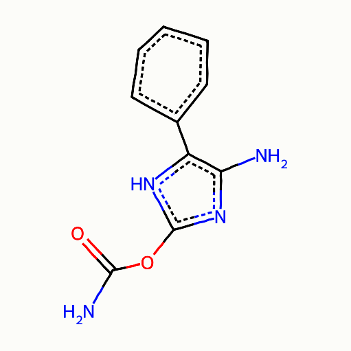 NC(=O)Oc1nc(N)c(-c2ccccc2)[nH]1